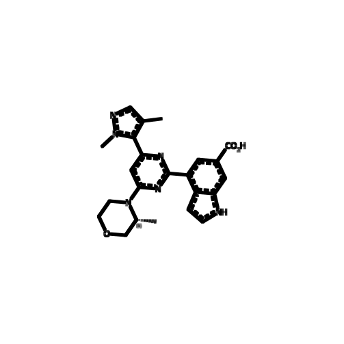 Cc1cnn(C)c1-c1cc(N2CCOC[C@H]2C)nc(-c2cc(C(=O)O)cc3[nH]ccc23)n1